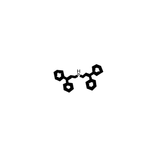 C(CPCC=C(c1ccccc1)c1ccccc1)=C(c1ccccc1)c1ccccc1